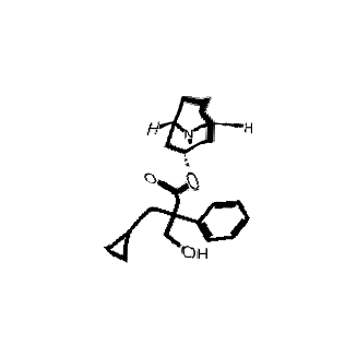 CN1[C@@H]2CC[C@H]1C[C@@H](OC(=O)C(CO)(CC1CC1)c1ccccc1)C2